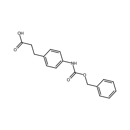 O=C(O)CCc1ccc(NC(=O)OCc2ccccc2)cc1